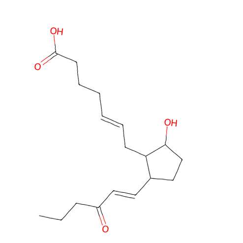 CCCC(=O)C=CC1CCC(O)C1CC=CCCCC(=O)O